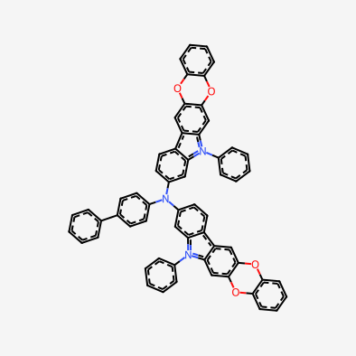 c1ccc(-c2ccc(N(c3ccc4c5cc6c(cc5n(-c5ccccc5)c4c3)Oc3ccccc3O6)c3ccc4c5cc6c(cc5n(-c5ccccc5)c4c3)Oc3ccccc3O6)cc2)cc1